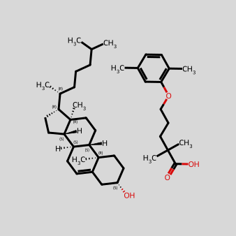 CC(C)CCC[C@@H](C)[C@H]1CC[C@H]2[C@@H]3CC=C4C[C@@H](O)CC[C@]4(C)[C@H]3CC[C@]12C.Cc1ccc(C)c(OCCCC(C)(C)C(=O)O)c1